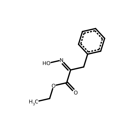 CCOC(=O)C(Cc1ccccc1)=NO